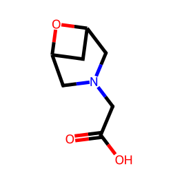 O=C(O)CN1CC2CC(C1)O2